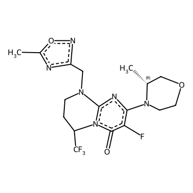 Cc1nc(CN2CCC(C(F)(F)F)n3c2nc(N2CCOC[C@H]2C)c(F)c3=O)no1